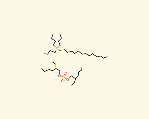 CCCCC(CC)COP(=O)([O-])OCC(CC)CCCC.CCCCCCCCCCCCCC[P+](CCCC)(CCCC)CCCC